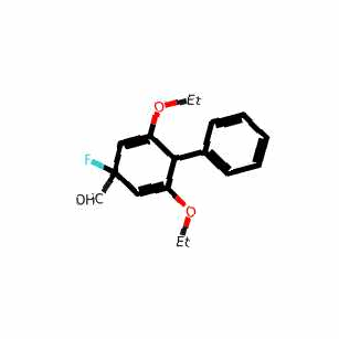 CCOC1=CC(F)(C=O)C=C(OCC)C1c1ccccc1